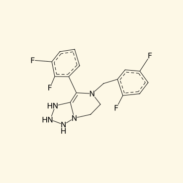 Fc1ccc(F)c(CN2CCN3NNNC3=C2c2cccc(F)c2F)c1